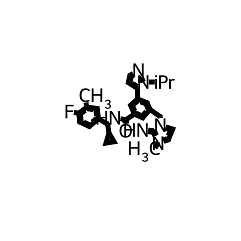 Cc1cc(C(NC(=O)c2cc(Cn3ccn(C)c3=N)cc(-c3ccnn3C(C)C)c2)C2CC2)ccc1F